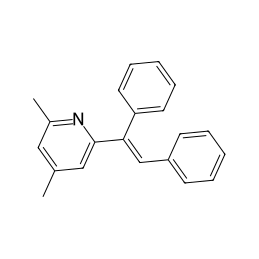 Cc1cc(C)nc(/C(=C/c2ccccc2)c2ccccc2)c1